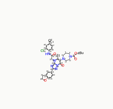 CCc1c(N2CCCN(C(=O)OC(C)(C)C)CC2)c(=O)n2nc(-c3ccc4c(c3)CCO4)nc2n1CC(=O)Nc1ccc(C(F)(F)F)cc1Cl